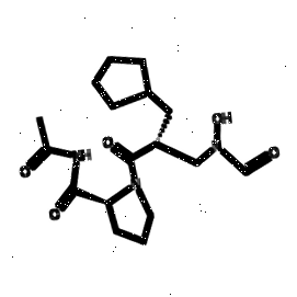 CC(=O)NC(=O)[C@@H]1CCCN1C(=O)[C@H](CC1CCCC1)CN(O)C=O